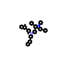 CC1C=C(C2=CC(C)C(N(c3ccc(-c4ccc5ccccc5c4)cc3)c3cccc(-c4cc(-c5ccccc5)cc5c4c4ccc(-c6ccccc6)cc4n5-c4ccccc4)c3)C=C2)C=C2C=CC=CC21